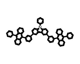 c1ccc(-c2c3ccccc3c(-c3cccc(-c4ccc5c(c4)c4cc(-c6cccc(-c7c8ccccc8c(-c8ccccc8)c8ccccc78)c6)ccc4n5-c4ccccc4)c3)c3ccccc23)cc1